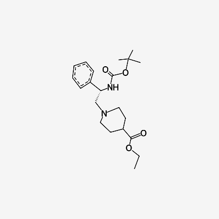 CCOC(=O)C1CCN(C[C@@H](NC(=O)OC(C)(C)C)c2ccccc2)CC1